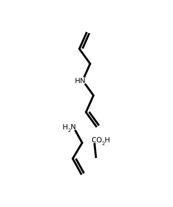 C=CCN.C=CCNCC=C.CC(=O)O